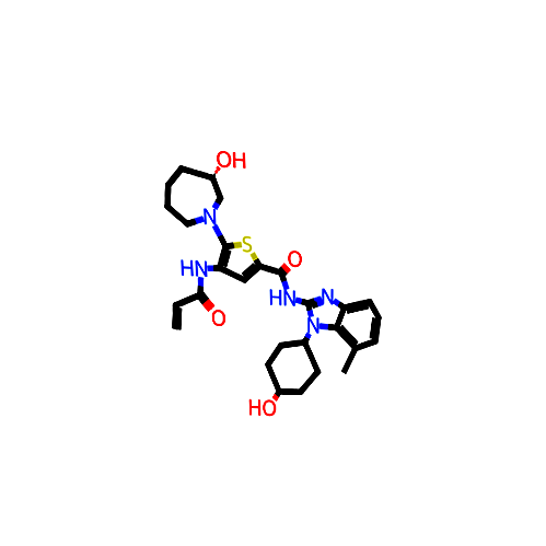 C=CC(=O)Nc1cc(C(=O)Nc2nc3cccc(C)c3n2C2CCC(O)CC2)sc1N1CCCC[C@H](O)C1